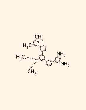 CCCCCC(CCCCC)c1cc(-c2cccc(-c3cc(C)cc(C)c3)c2)cc(-c2cccc(-c3cc(N)cc(N)c3)c2)c1